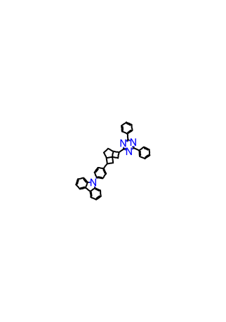 c1ccc(-c2nc(-c3ccccc3)nc(C3CC45CC(c6ccc(-n7c8ccccc8c8ccccc87)cc6)C4CCC35)n2)cc1